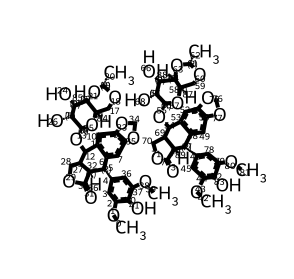 COc1cc([C@@H]2c3cc4c(cc3C(O[C@@H]3O[C@@H]5CO[C@@H](C)O[C@H]5[C@H](O)[C@H]3O)C3COC(=O)[C@@H]32)OCO4)cc(OC)c1O.COc1cc([C@@H]2c3cc4c(cc3C(O[C@@H]3O[C@@H]5CO[C@@H](C)O[C@H]5[C@H](O)[C@H]3O)C3COC(=O)[C@@H]32)OCO4)cc(OC)c1O